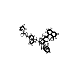 O=C(OC[C@H]1CC[C@@]2(COc3nc(N4CC5CCC(C4)N5)c4cnc(-c5cccc6cccc(Cl)c56)c(F)c4n3)CCCN12)N1CCCC1